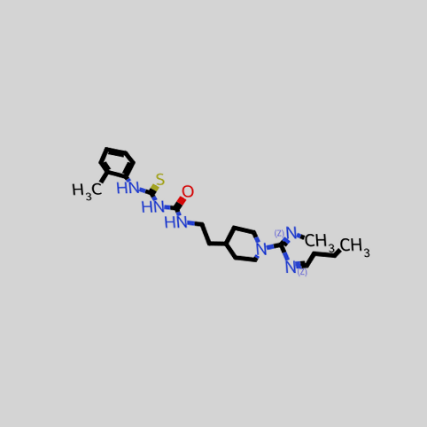 CCC/C=N\C(=N/C)N1CCC(CCNC(=O)NC(=S)Nc2ccccc2C)CC1